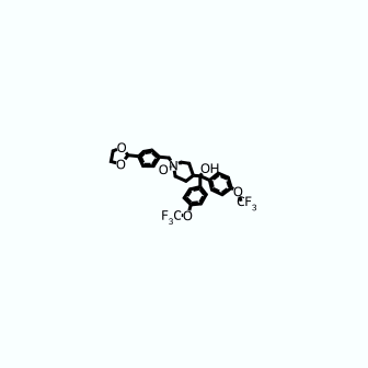 [O-][N+]1(Cc2ccc(C3OCCO3)cc2)CCC(C(O)(c2ccc(OC(F)(F)F)cc2)c2ccc(OC(F)(F)F)cc2)CC1